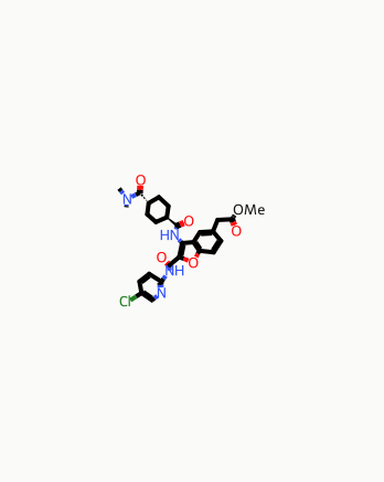 COC(=O)Cc1ccc2oc(C(=O)Nc3ccc(Cl)cn3)c(NC(=O)[C@H]3CC[C@H](C(=O)N(C)C)CC3)c2c1